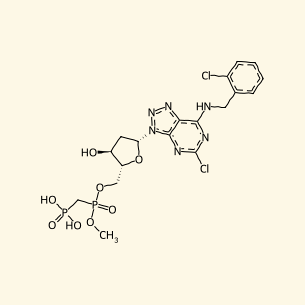 COP(=O)(CP(=O)(O)O)OC[C@H]1O[C@@H](n2nnc3c(NCc4ccccc4Cl)nc(Cl)nc32)C[C@@H]1O